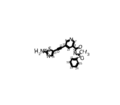 CS(=O)(=NC(=O)c1cncc(C#Cc2cnc(N)s2)c1)c1ccccc1